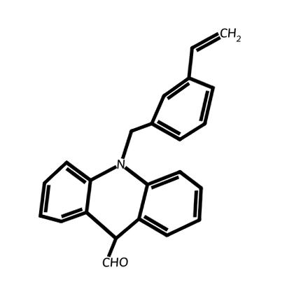 C=Cc1cccc(CN2c3ccccc3C(C=O)c3ccccc32)c1